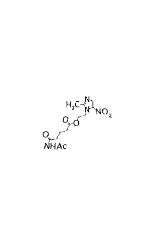 CC(=O)NC(=O)CCCC(=O)OCCn1c([N+](=O)[O-])cnc1C